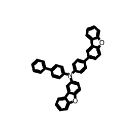 c1ccc(-c2ccc(N(c3ccc(-c4ccc5oc6ccccc6c5c4)cc3)c3ccc4oc5ccccc5c4c3)cc2)cc1